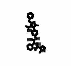 Cc1nn(Cc2ccccc2)c(C(C)O)c1-c1ccc(NC(O)[C@@H](NC(=O)c2ccnn2C)C2CCCCC2)cc1